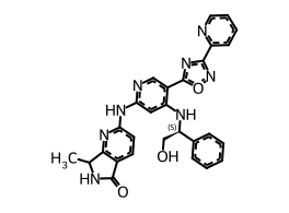 CC1NC(=O)c2ccc(Nc3cc(N[C@H](CO)c4ccccc4)c(-c4nc(-c5ccccn5)no4)cn3)nc21